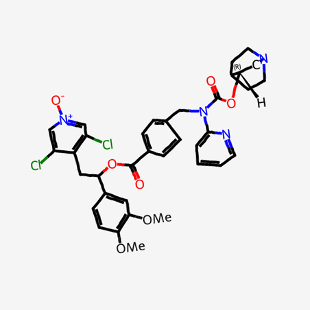 COc1ccc(C(Cc2c(Cl)c[n+]([O-])cc2Cl)OC(=O)c2ccc(CN(C(=O)O[C@H]3CN4CCC3CC4)c3ccccn3)cc2)cc1OC